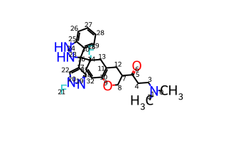 CN(C)CCC(=O)C1COC2=C(C1)CC(F)(C1(c3cnn(F)c3)NNc3ccccc31)C=C2